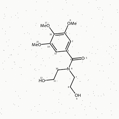 COc1cc(C(=O)N(CCO)CCO)cc(OC)c1OC